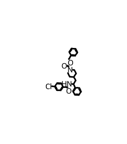 O=C(NC(CC1CCN(C(=O)OCc2ccccc2)CC1)c1ccccc1)c1ccc(Cl)cc1